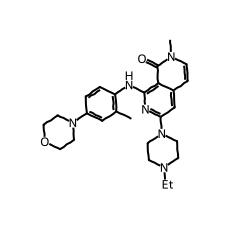 CCN1CCN(c2cc3ccn(C)c(=O)c3c(Nc3ccc(N4CCOCC4)cc3C)n2)CC1